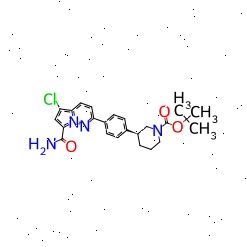 CC(C)(C)OC(=O)N1CCC[C@@H](c2ccc(-c3ccc4c(Cl)cc(C(N)=O)n4n3)cc2)C1